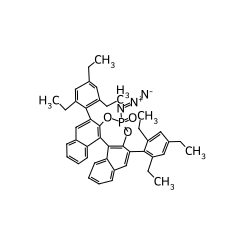 CCc1cc(CC)c(-c2cc3ccccc3c3c2OP(=O)(N=[N+]=[N-])Oc2c(-c4c(CC)cc(CC)cc4CC)cc4ccccc4c2-3)c(CC)c1